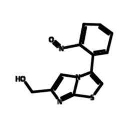 O=Nc1ccccc1-c1csc2nc(CO)cn12